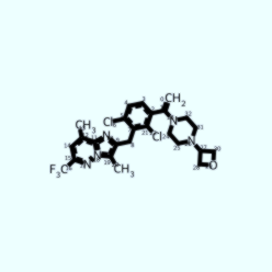 C=C(c1ccc(Cl)c(Cc2nc3c(C)cc(C(F)(F)F)nn3c2C)c1Cl)N1CCN(C2COC2)CC1